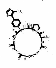 Cc1ncsc1-c1ccc([C@H]2NC(=O)[C@@H]3CCCN3C(=O)C(C(C)(C)C)NC(=O)COCCNC(=O)CNC(=O)CNC2=O)cc1